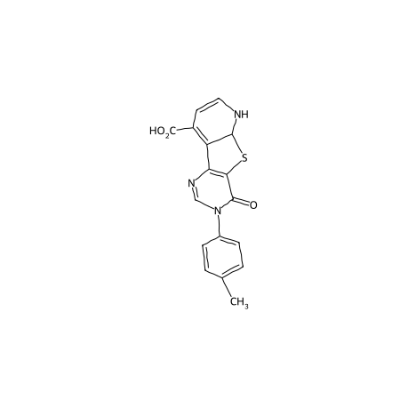 Cc1ccc(-n2cnc3c(c2=O)SC2NC=CC(C(=O)O)=C32)cc1